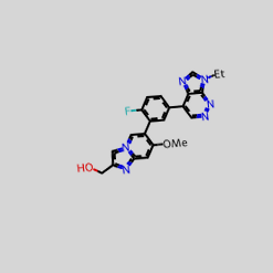 CCn1cnc2c(-c3ccc(F)c(-c4cn5cc(CO)nc5cc4OC)c3)cnnc21